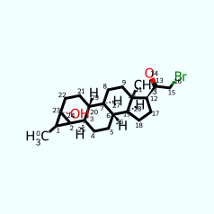 CC1C2[C@@H]3CC[C@@H]4[C@H](CC[C@]5(C)[C@@H](C(=O)CBr)CC[C@@H]45)[C@H]3CC[C@]12O